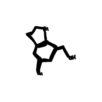 N=C1C=C(CO)C2=C(CCN2)C1